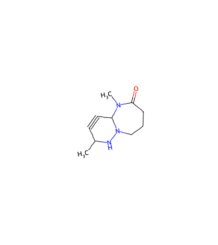 CC1C#CC2N(CCCC(=O)N2C)N1